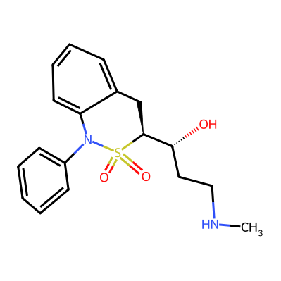 CNCC[C@@H](O)[C@@H]1Cc2ccccc2N(c2ccccc2)S1(=O)=O